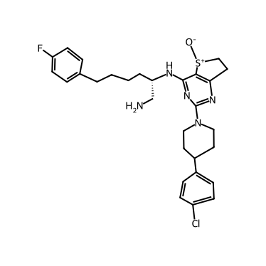 NC[C@H](CCCCc1ccc(F)cc1)Nc1nc(N2CCC(c3ccc(Cl)cc3)CC2)nc2c1[S+]([O-])CC2